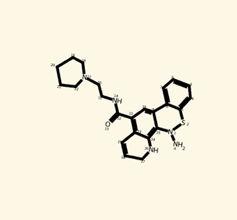 NN1Sc2ccccc2-c2cc(C(=O)NCCN3CCCCC3)c3c(c21)NCC=C3